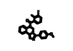 COc1ccc(-c2ncc3n2CN(C(=O)c2cccc(F)c2C)c2ccccc2-3)cc1